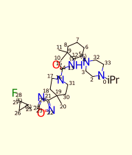 CC(C)N1CCN([C@H]2CCCC(C)(C)[C@@H]2NC(=O)N2CCC(C)(c3noc([C@@H]4C[C@@H]4F)n3)CC2)CC1